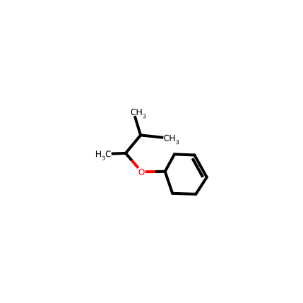 CC(C)C(C)OC1CC=CCC1